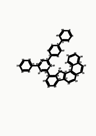 c1ccc(-c2ccc(-c3nc(-c4ccccc4)nc(-c4cccc5c4[se]c4c5ccc5ccc6ccccc6c54)n3)cc2)cc1